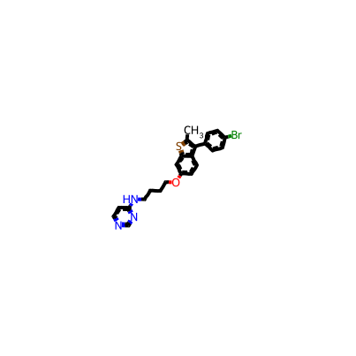 Cc1sc2cc(OCCCCNc3ccncn3)ccc2c1-c1ccc(Br)cc1